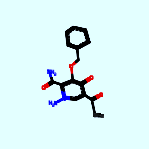 COC(=O)c1cn(N)c(C(N)=O)c(OCc2ccccc2)c1=O